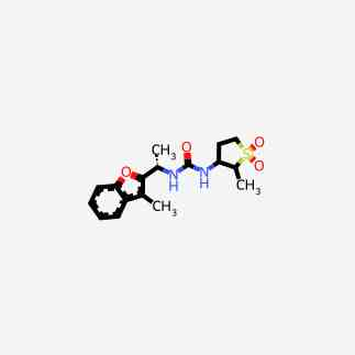 Cc1c([C@H](C)NC(=O)NC2CCS(=O)(=O)C2C)oc2ccccc12